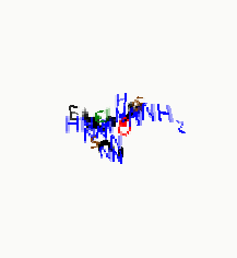 CCc1[nH]c2nc(Sc3cnc4nccnc4c3)nc(N3CC(NC(=O)c4csc(N)n4)C3)c2c1Cl